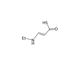 CCN/C=C/C(=O)S